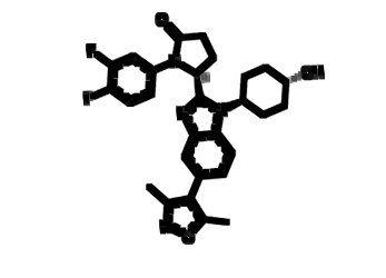 Cc1noc(C)c1-c1ccc2c(c1)nc([C@@H]1CCC(=O)N1c1ccc(F)c(F)c1)n2[C@H]1CC[C@H](O)CC1